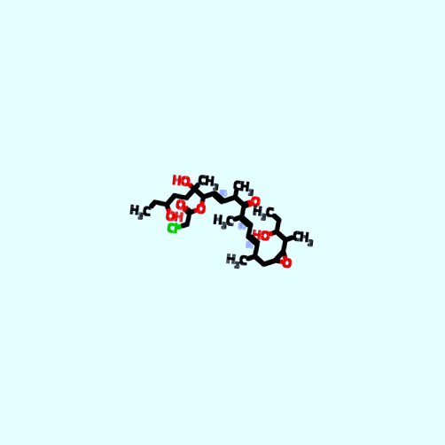 CCC(O)CCC(C)(O)C(/C=C/C(C)C(=O)/C(C)=C/C=C/C(C)CC1OC1C(C)C(O)CC)OC(=O)CCl